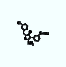 CCCCSc1cccc(C2=C(N)SC(Cc3cccc(Cl)c3)C2=O)c1